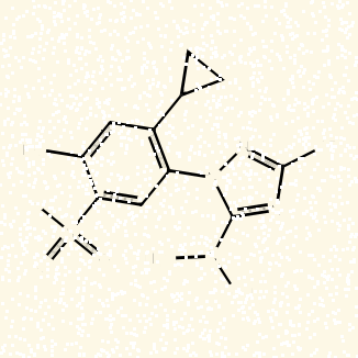 Cc1cc(C2CC2)c(-n2nc(C(F)(F)F)nc2N(C)C)cc1S(=O)(=O)F